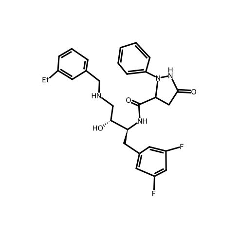 CCc1cccc(CNC[C@@H](O)[C@H](Cc2cc(F)cc(F)c2)NC(=O)C2CC(=O)NN2c2ccccc2)c1